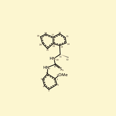 COc1ccccc1NC(=S)N[C@@H](C)c1cccc2ccccc12